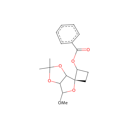 COC1O[C@]2(CCC2OC(=O)c2ccccc2)C2OC(C)(C)OC12